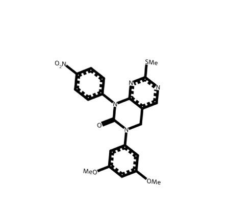 COc1cc(OC)cc(N2Cc3cnc(SC)nc3N(c3ccc([N+](=O)[O-])cc3)C2=O)c1